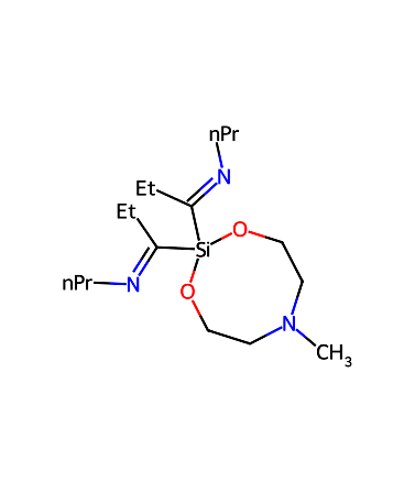 CCCN=C(CC)[Si]1(C(CC)=NCCC)OCCN(C)CCO1